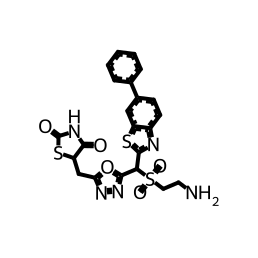 NCCS(=O)(=O)C(c1nnc(CC2SC(=O)NC2=O)o1)c1nc2ccc(-c3ccccc3)cc2s1